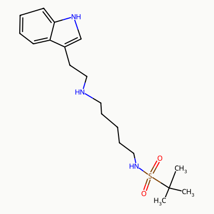 CC(C)(C)S(=O)(=O)NCCCCCNCCc1c[nH]c2ccccc12